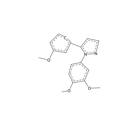 COc1cccc(-c2ccnn2-c2ccc(OC)c(OC)c2)c1